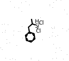 CC(Cc1ccccc1)[SiH](Cl)Cl